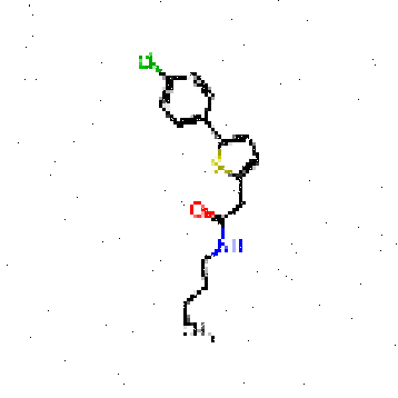 CCCCNC(=O)Cc1ccc(-c2ccc(Cl)cc2)s1